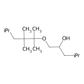 CC(C)CC(O)COC(C)(C)C(C)(C)CC(C)C